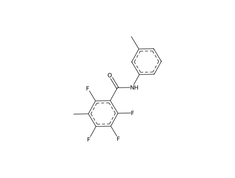 Cc1cccc(NC(=O)c2c(F)c(C)c(F)c(F)c2F)c1